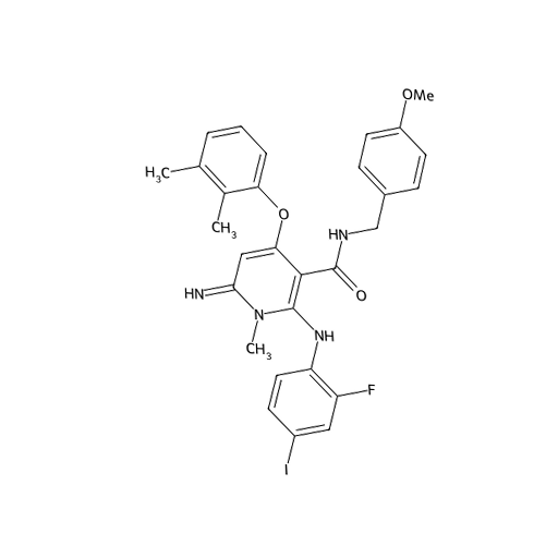 COc1ccc(CNC(=O)c2c(Oc3cccc(C)c3C)cc(=N)n(C)c2Nc2ccc(I)cc2F)cc1